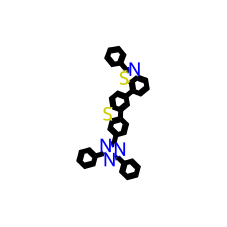 c1ccc(-c2nc(-c3ccccc3)nc(-c3ccc4c(c3)sc3ccc(-c5cccc6nc(-c7ccccc7)sc56)cc34)n2)cc1